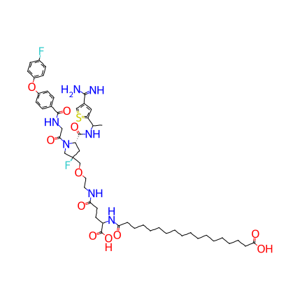 CC(NC(=O)[C@@H]1C[C@](F)(COCCNC(=O)CCC(NC(=O)CCCCCCCCCCCCCCCCC(=O)O)C(=O)O)CN1C(=O)CNC(=O)c1ccc(Oc2ccc(F)cc2)cc1)c1cc(C(=N)N)cs1